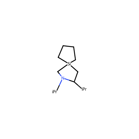 CC(C)C1C[Si]2(CCCC2)CN1C(C)C